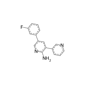 Nc1ncc(-c2cccc(F)c2)cc1-c1cccnc1